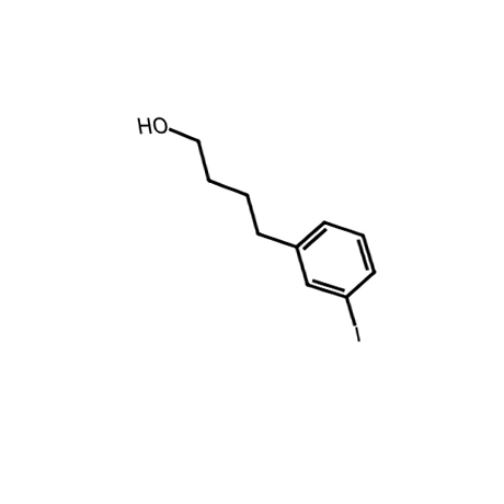 OCCCCc1cccc(I)c1